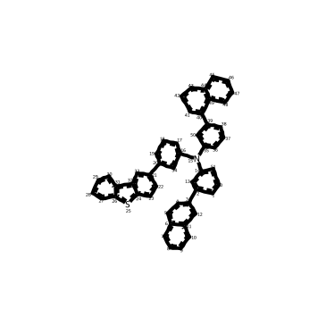 c1cc(-c2ccc3ccccc3c2)cc(N(c2cccc(-c3ccc4sc5ccccc5c4c3)c2)c2cccc(-c3cccc4ccccc34)c2)c1